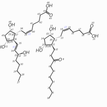 CCCCCCCC(=O)CC[C@@H]1[C@@H](C/C=C\CCCC(=O)O)[C@@H](O)C[C@H]1O.CCCCC[C@H](O)/C=C/[C@@H]1[C@@H](C/C=C\CCCC(=O)O)[C@@H](O)C[C@H]1O